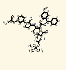 CC(C)(C)OC(=O)N[C@@H]1C(=O)N2C(C(=O)OC(c3ccccc3)c3ccccc3)=C(/C=C3\CCN(c4ccc[n+](CC(N)=O)c4)C3=O)CS[C@H]12.[Br-]